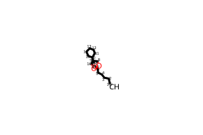 C#CCCCCC12OCC(C3CCCCC3)(CO1)CO2